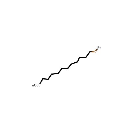 [CH2]CCCCCCCCCCCCCCCCC[CH]SCC